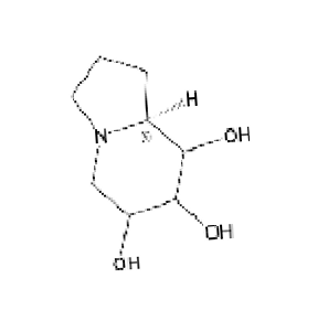 OC1CN2CCC[C@H]2C(O)C1O